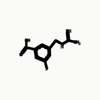 N=C(N)NCc1cc(F)cc(C(=O)O)c1